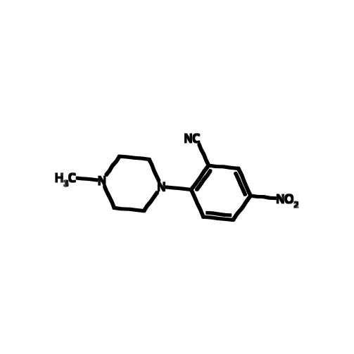 CN1CCN(c2ccc([N+](=O)[O-])cc2C#N)CC1